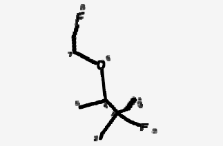 [CH2]C(C)(F)C(C)OCF